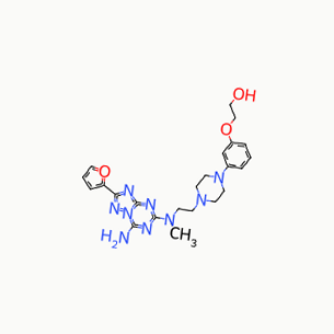 CN(CCN1CCN(c2cccc(OCCO)c2)CC1)c1nc(N)n2nc(-c3ccco3)nc2n1